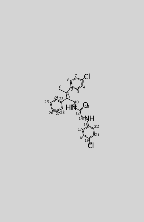 CC(c1ccc(Cl)cc1)C(CNC(=O)CNc1ccc(Cl)cc1)c1ccccc1